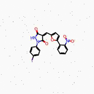 O=C1NN(c2ccc(I)cc2)C(=O)C1=Cc1ccc(-c2ccccc2[N+](=O)[O-])o1